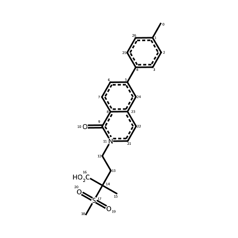 Cc1ccc(-c2ccc3c(=O)n(CCC(C)(C(=O)O)S(C)(=O)=O)ccc3c2)cc1